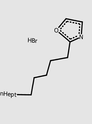 Br.CCCCCCCCCCCCc1ncco1